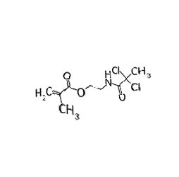 C=C(C)C(=O)OCCNC(=O)C(C)(Cl)Cl